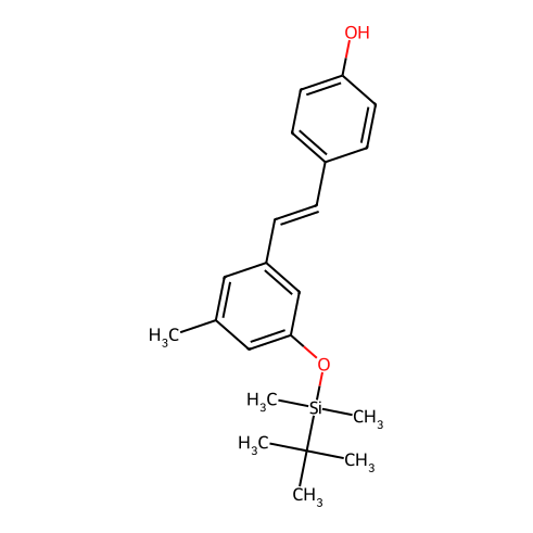 Cc1cc(/C=C/c2ccc(O)cc2)cc(O[Si](C)(C)C(C)(C)C)c1